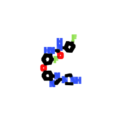 O=C(Nc1cccc(F)c1)Nc1ccc(Oc2ccc3ncc(N4CCNCC4)nc3c2)cc1F